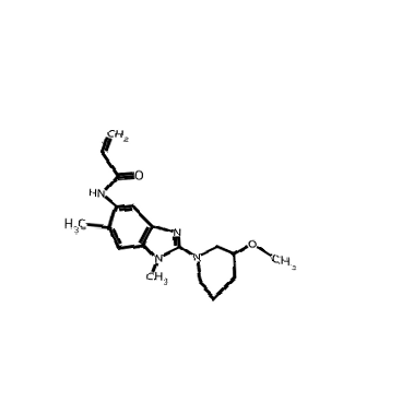 C=CC(=O)Nc1cc2nc(N3CCCC(OC)C3)n(C)c2cc1C